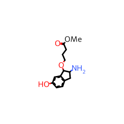 COC(=O)CCCOC1c2cc(O)ccc2CC1N